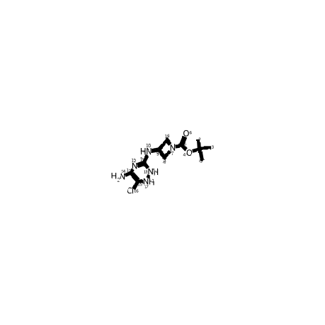 CC(C)(C)OC(=O)N1CC(NC2=NC(N)=C(Cl)NN2)C1